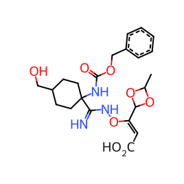 CC1OC(/C(=C/C(=O)O)ONC(=N)C2(NC(=O)OCc3ccccc3)CCC(CO)CC2)O1